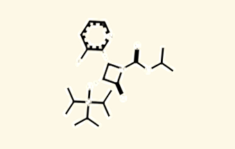 CC(C)OC(=O)N1C(=O)[C@H](O[Si](C(C)C)(C(C)C)C(C)C)[C@@H]1c1ncccc1F